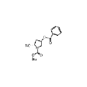 CC(C)(C)OC(=O)N1C[C@H](OC(=O)c2ccccc2)C[C@H]1C#N